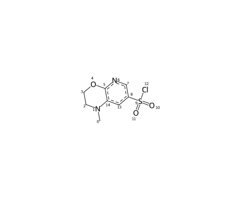 CN1CCOc2ncc(S(=O)(=O)Cl)cc21